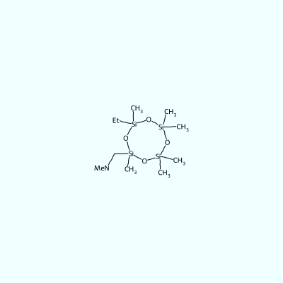 CC[Si]1(C)O[Si](C)(C)O[Si](C)(C)O[Si](C)(CNC)O1